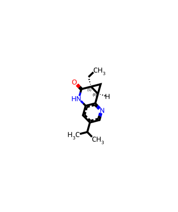 CC[C@]12C[C@H]1c1ncc(C(C)C)cc1NC2=O